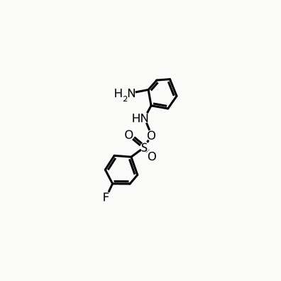 Nc1ccccc1NOS(=O)(=O)c1ccc(F)cc1